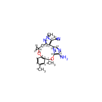 Cc1ccc2c(c1)[C@@H](C)Oc1nc(cnc1N)-c1c(nn(C)c1C#N)CC1(CC1)O2